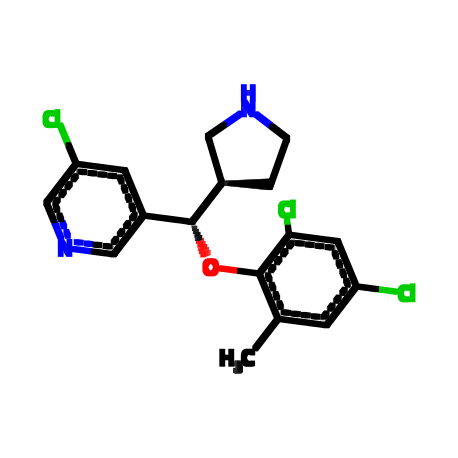 Cc1cc(Cl)cc(Cl)c1O[C@H](c1cncc(Cl)c1)[C@@H]1CCNC1